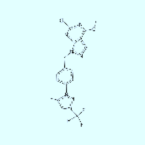 COc1nc(Cl)nc2c1cnn2Cc1ccc(-n2nc(C(F)(F)F)cc2C)cc1